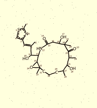 C/C(=C\c1csc(C)n1)C(O)C1NC(=O)CC(O)C(C)(C)C(=O)C(C)C(O)C(C)CCCC2(C)OC12